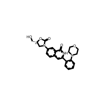 O=C1O[C@@H](CO)CN1c1ccc2cc(-c3ccccc3N3CCOCC3)[nH]c(=O)c2c1